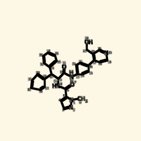 Cn1nccc1C(=O)N[C@H](C(=O)Nc1ccc(-c2ccncc2CO)cc1)C(c1ccccc1)c1ccccc1